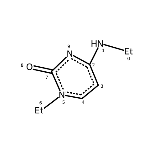 CCNc1ccn(CC)c(=O)n1